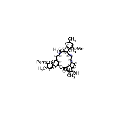 CCCC(C)C1OC2(C=C[C@@H]1C)CC1CC(C/C=C(\C)[C@@H](O[C@H]3CC(OC)CC(C)O3)[C@@H](C)/C=C/C=C3\COC4C(O)C(C)=C[C@@H](C(=O)O1)C34)O2